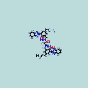 CCc1cc(CNC(=O)C(=O)NCc2cc(CC)cc(-n3nc4ccccc4n3)c2O)c(O)c(-n2nc3ccccc3n2)c1